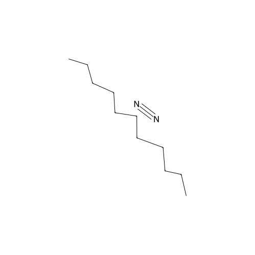 CCCCCCCCCCC.N#N